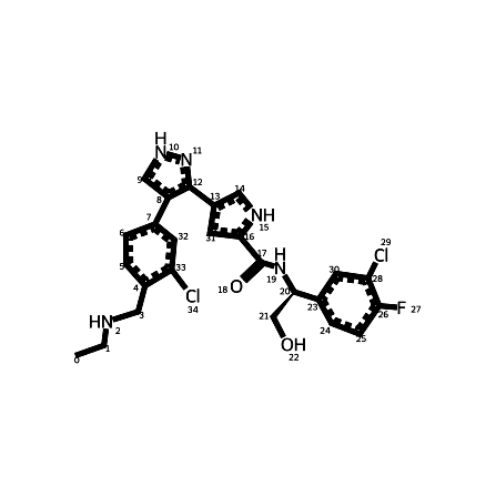 CCNCc1ccc(-c2c[nH]nc2-c2c[nH]c(C(=O)N[C@H](CO)c3ccc(F)c(Cl)c3)c2)cc1Cl